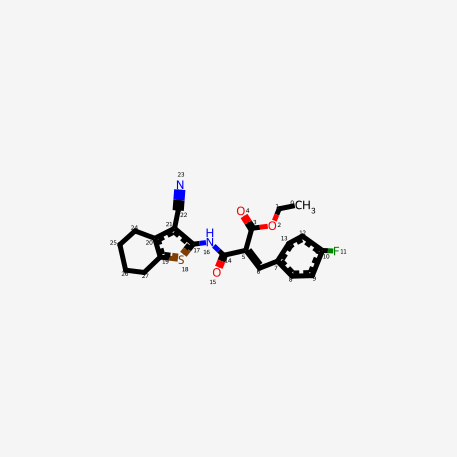 CCOC(=O)C(=Cc1ccc(F)cc1)C(=O)Nc1sc2c(c1C#N)CCCC2